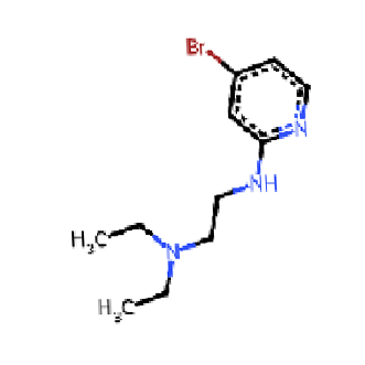 CCN(CC)CCNc1cc(Br)ccn1